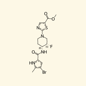 COC(=O)c1cnc(N2CC[C@@H](NC(=O)c3cc(Br)c(C)[nH]3)[C@@H](F)C2)s1